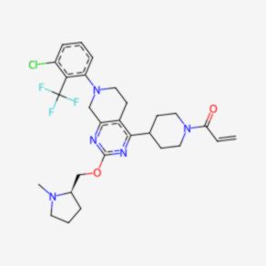 C=CC(=O)N1CCC(c2nc(OC[C@H]3CCCN3C)nc3c2CCN(c2cccc(Cl)c2C(F)(F)F)C3)CC1